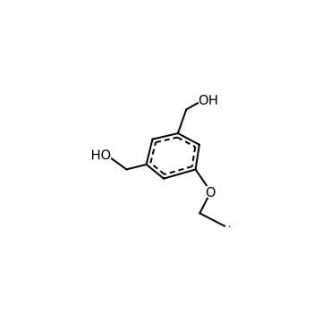 [CH2]COc1cc(CO)cc(CO)c1